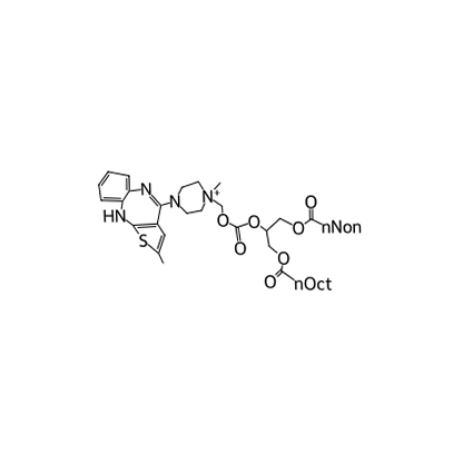 CCCCCCCCCC(=O)OCC(COC(=O)CCCCCCCC)OC(=O)OC[N+]1(C)CCN(C2=Nc3ccccc3Nc3sc(C)cc32)CC1